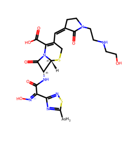 O=C(O)C1=C(C=C2CCN(CCNCCO)C2=O)CS[C@@H]2[C@H](NC(=O)/C(=N\O)c3nsc([AsH2])n3)C(=O)N12